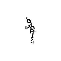 Cc1cc2c(ncc3c2c(CN(C)C)cn3Cc2ccc(F)cc2)c(=O)n1OCCOCC[Si](C)(C)C